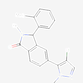 CCN1C(=O)c2ccc(-c3c(Cl)cnn3C)cc2C1c1ccccc1OC